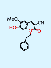 COc1cc(C=C(C#N)C(=O)OCCc2ccccc2)ccc1O